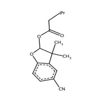 CC(C)CC(=O)OC1Oc2ccc(C#N)cc2C1(C)C